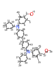 COCc1c(C)cc(N(c2ccc(C)cc2)c2ccc(-c3ccc(N(c4ccc(C)cc4)c4cc(C)c(COC)c(C)c4)cc3)cc2)cc1C